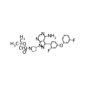 CC(C)(C)OC(=O)N1CCC(n2nc(-c3ccc(Oc4cccc(F)c4)cc3F)c3c(N)ncnc32)C1